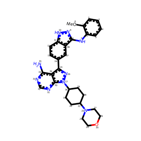 COc1ccccc1Nc1n[nH]c2ccc(-c3nn(C4CCC(N5CCOCC5)CC4)c4ncnc(N)c34)cc12